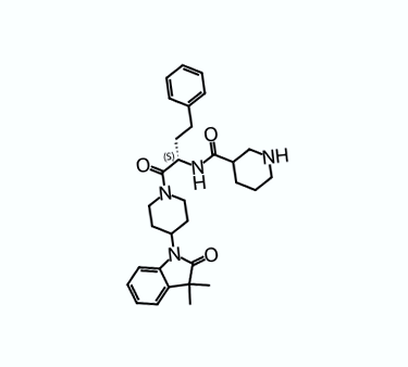 CC1(C)C(=O)N(C2CCN(C(=O)[C@H](CCc3ccccc3)NC(=O)C3CCCNC3)CC2)c2ccccc21